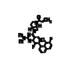 C=CC(=O)N1CC[C@@H]2[C@H]1CN2c1nc(N(CC)CC)nc2c(F)c(-c3cccc4ccc(F)c(Cl)c34)ncc12